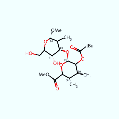 COC(=O)C1O[C@@H](O[C@@H]2C(C)[C@@H](OC)OC(CO)[C@H]2O)C(OC(=O)C(C)(C)C)[C@@H](C)[C@@H]1C